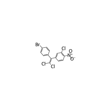 O=[N+]([O-])c1ccc(C(=C(Cl)Cl)c2ccc(Br)cc2)cc1Cl